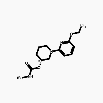 CC(C)(C)NC(=O)O[C@@H]1CCCN(c2cccc(OCC(F)(F)F)n2)C1